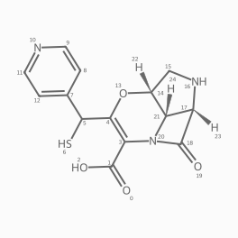 O=C(O)C1=C(C(S)c2ccncc2)O[C@@H]2CN[C@@H]3C(=O)N1[C@@H]32